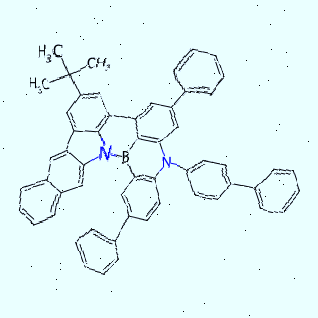 CC(C)(C)c1cc2c3c(c1)c1cc4ccccc4cc1n3B1c3cc(-c4ccccc4)ccc3N(c3ccc(-c4ccccc4)cc3)c3cc(-c4ccccc4)cc-2c31